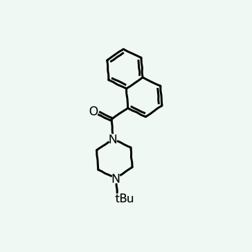 CC(C)(C)N1CCN(C(=O)c2cccc3ccccc23)CC1